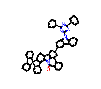 O=c1c2ccccc2c2cc(-c3ccc4c(c3)c3ccccc3n4-c3nc(-c4ccccc4)nc(-c4ccccc4)n3)cc3c4ccc5c(c4n1c23)-c1ccccc1C51c2ccccc2-c2ccccc21